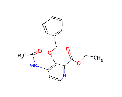 CCOC(=O)c1nccc(NC(C)=O)c1OCc1ccccc1